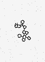 c1ccc(-c2c3c(c(-c4ccccc4)c4ccccc24)-c2ccc(-c4cccc(N(c5ccccc5)c5ccc6cccnc6c5)c4)c4cccc-3c24)cc1